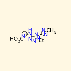 CCn1c(-c2cnc(C)nc2)nc2c(N[C@H]3CCCN(C(=O)O)C3)ncnc21